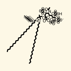 CCCCCCCCCCCCCCCCCCCCCCOCC(C)(COCCCCCCCCCCCCCCCCCCCCCC)COC1(C(=O)[O-])CC(OS(=O)(=O)[O-])C(N=C(C)[O-])C(C(OS(=O)(=O)O)C(COS(=O)(=O)[O-])OS(=O)(=O)[O-])O1.[Na+].[Na+].[Na+].[Na+].[Na+]